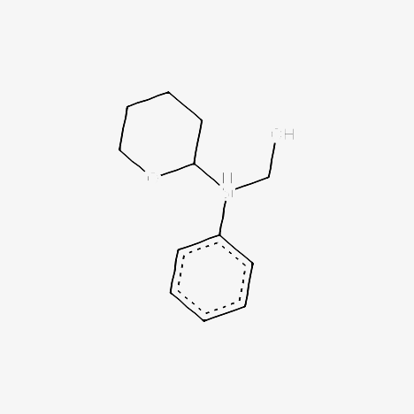 OC[SiH](c1ccccc1)C1CCCCO1